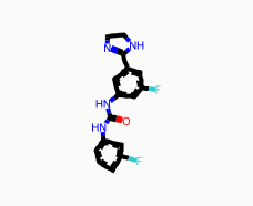 O=C(Nc1cccc(F)c1)Nc1cc(F)cc(C2=NCCN2)c1